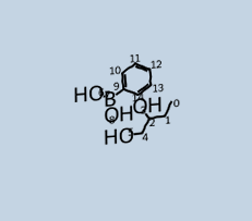 CCC(O)CO.OB(O)c1ccccc1